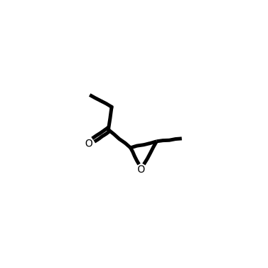 CCC(=O)C1OC1C